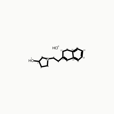 Cl.OC1CCN(CCC2=Cc3ccccc3CC2)C1